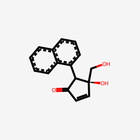 O=C1C=C[C@@](O)(CO)C1c1cccc2ccccc12